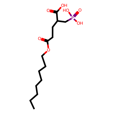 CCCCCCCCOC(=O)CCC(CP(=O)(O)O)C(=O)O